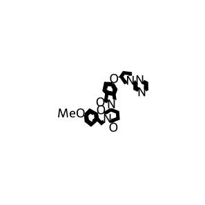 COc1ccc(CN2C(=O)CCC(N3Cc4cc(O[C@@H]5CCN(c6cnccn6)C5)ccc4C3=O)C2=O)cc1